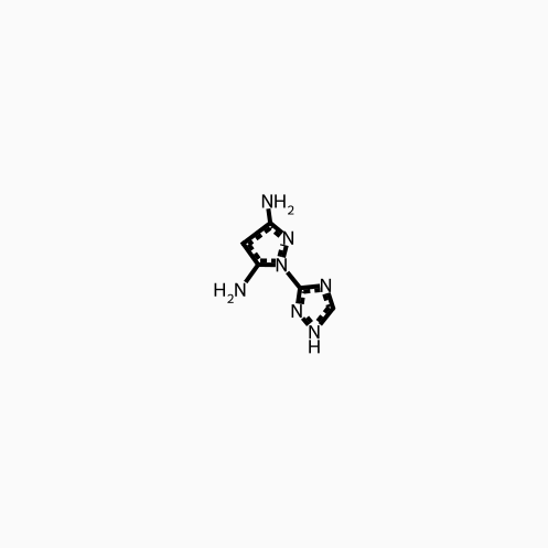 Nc1cc(N)n(-c2nc[nH]n2)n1